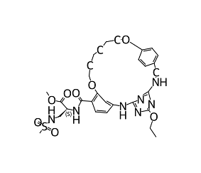 CCOc1nc2nc(n1)Nc1ccc(C(=O)N[C@@H](CNS(C)(=O)=O)C(=O)OC)c(c1)OCCCCCCOc1ccc(cc1)CN2